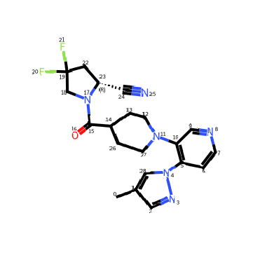 Cc1cnn(-c2ccncc2N2CCC(C(=O)N3CC(F)(F)C[C@@H]3C#N)CC2)c1